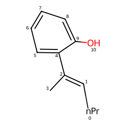 CCCC=C(C)c1ccccc1O